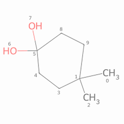 CC1(C)CCC(O)(O)CC1